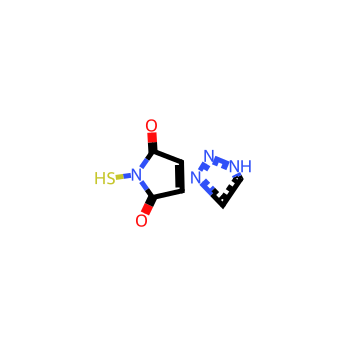 O=C1C=CC(=O)N1S.c1c[nH]nn1